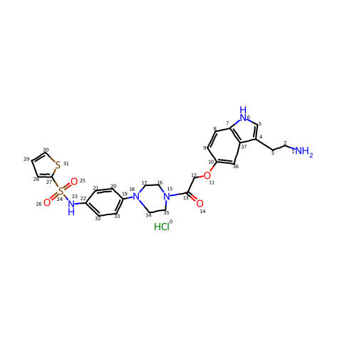 Cl.NCCc1c[nH]c2ccc(OCC(=O)N3CCN(c4ccc(NS(=O)(=O)c5cccs5)cc4)CC3)cc12